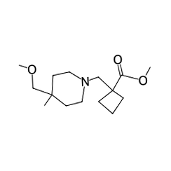 COCC1(C)CCN(CC2(C(=O)OC)CCC2)CC1